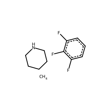 C.C1CCNCC1.Fc1cccc(F)c1F